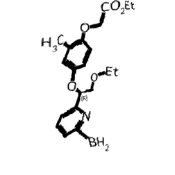 Bc1cccc([C@H](COCC)Oc2ccc(OCC(=O)OCC)c(C)c2)n1